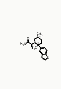 C[C@H]1CC[C@@](c2ccc3scnc3c2)(C(F)(F)F)N(C(=O)C(N)=O)C1